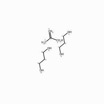 C=C(C)C(=O)O.OCCCO.OCCCO